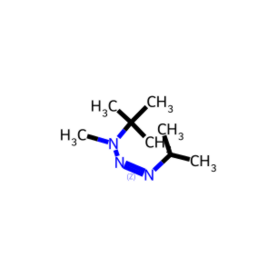 CC(C)/N=N\N(C)C(C)(C)C